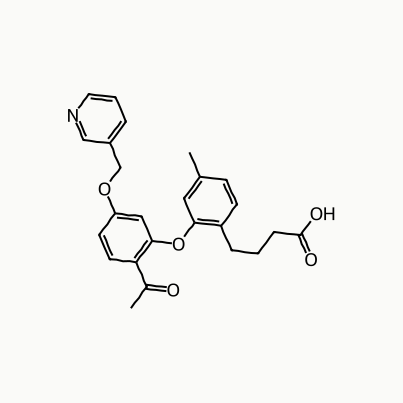 CC(=O)c1ccc(OCc2cccnc2)cc1Oc1cc(C)ccc1CCCC(=O)O